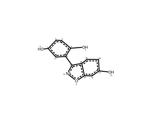 Oc1ccc(O)c(-c2noc3cc(O)ccc23)c1